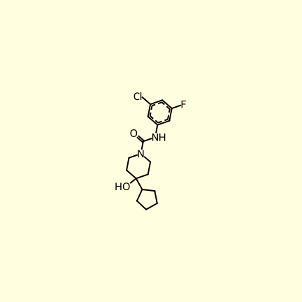 O=C(Nc1cc(F)cc(Cl)c1)N1CCC(O)(C2CCCC2)CC1